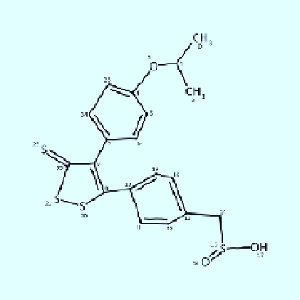 CC(C)Oc1ccc(-c2c(-c3ccc(CS(=O)O)cc3)ssc2=S)cc1